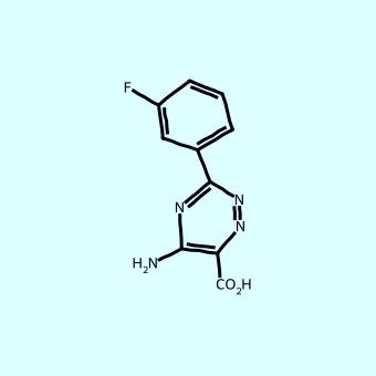 Nc1nc(-c2cccc(F)c2)nnc1C(=O)O